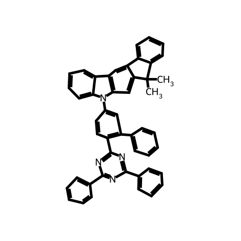 CC1(C)c2ccccc2-c2cc3c4ccccc4n(-c4ccc(-c5nc(-c6ccccc6)nc(-c6ccccc6)n5)c(-c5ccccc5)c4)c3cc21